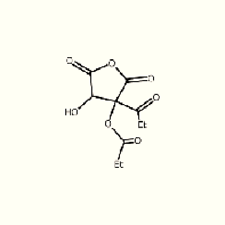 CCC(=O)OC1(C(=O)CC)C(=O)OC(=O)C1O